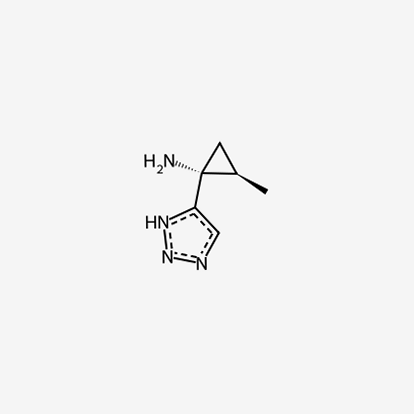 C[C@@H]1C[C@]1(N)c1cnn[nH]1